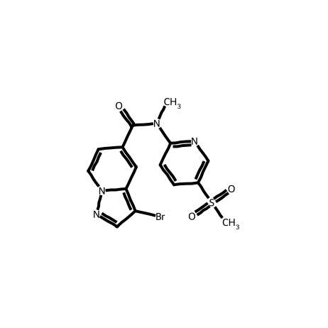 CN(C(=O)c1ccn2ncc(Br)c2c1)c1ccc(S(C)(=O)=O)cn1